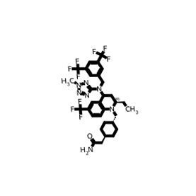 CC[C@@H]1CC(N(Cc2cc(C(F)(F)F)cc(C(F)(F)F)c2)c2nnn(C)n2)c2cc(C(F)(F)F)ccc2N1C[C@H]1CC[C@H](CC(N)=O)CC1